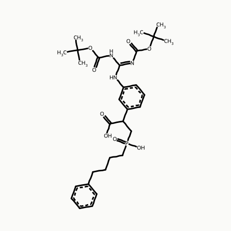 CC(C)(C)OC(=O)N=C(NC(=O)OC(C)(C)C)Nc1cccc(C(CP(=O)(O)CCCCc2ccccc2)C(=O)O)c1